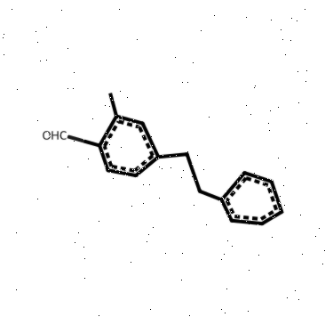 Cc1cc(CCc2ccccc2)ccc1C=O